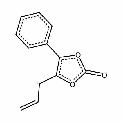 C=C[CH]c1oc(=O)oc1-c1ccccc1